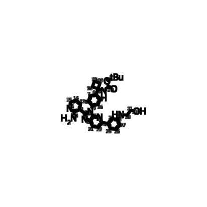 CC(C)(C)OC(=O)NC1(c2ccc(-n3c(-c4cccnc4N)nc4ccc(-c5cccc(NCCO)c5)nc43)cc2)CCC1